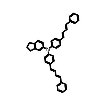 C(/C=C/c1ccc(N(c2ccc(/C=C/C=C/c3ccccc3)cc2)c2ccc3c(c2)CCC3)cc1)=C\c1ccccc1